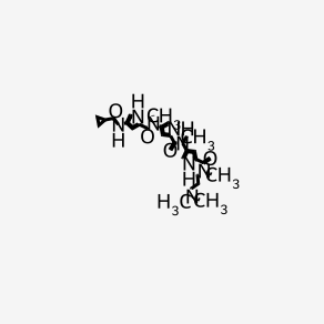 CN(C)CCCN(C)C(=O)c1cc(N(C)C(=O)c2cc(N(C)C(=O)c3cc(NC(=O)C4CC4)c[nH]3)c[nH]2)c[nH]1